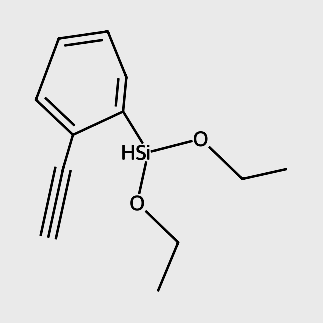 C#Cc1ccccc1[SiH](OCC)OCC